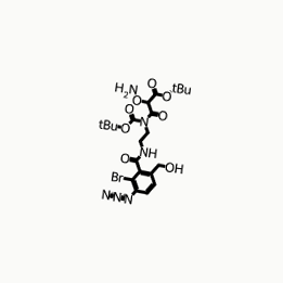 CC(C)(C)OC(=O)C(ON)C(=O)N(CCNC(=O)c1c(CO)ccc(N=[N+]=[N-])c1Br)C(=O)OC(C)(C)C